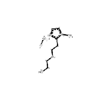 C[n+]1cc[nH]c1CCOCCO.O=S(=O)([O-])O